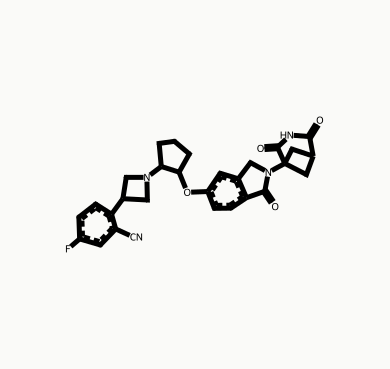 N#Cc1cc(F)ccc1C1CN(C2CCCC2Oc2ccc3c(c2)CN(C24CC(C2)C(=O)NC4=O)C3=O)C1